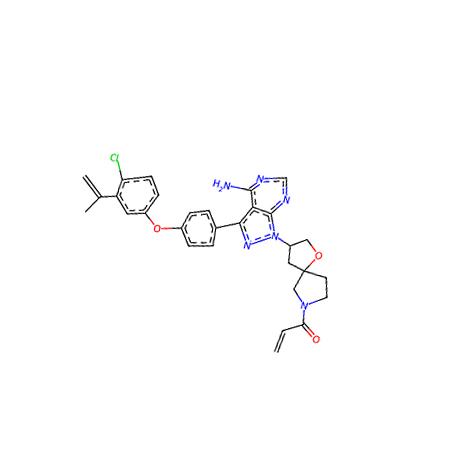 C=CC(=O)N1CCC2(CC(n3nc(-c4ccc(Oc5ccc(Cl)c(C(=C)C)c5)cc4)c4c(N)ncnc43)CO2)C1